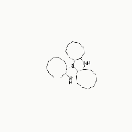 C1CCCCC2B3C4CCCCCCCC4NC4CCCCCCCC(NC2CCC1)C34